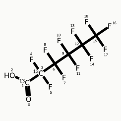 O=[13C](O)[13C](F)(F)C(F)(F)C(F)(F)C(F)(F)C(F)(F)F